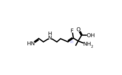 CC(N)(C(=O)O)/C(F)=C/CCNCC=N